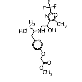 COC(=O)COc1ccc(CC(C)NCC(O)c2nc(C(F)(F)F)oc2C)cc1.Cl